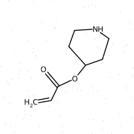 C=CC(=O)OC1CCNCC1